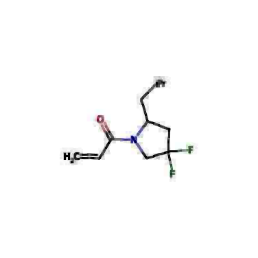 C=CC(=O)N1CC(F)(F)CC1CC(C)C